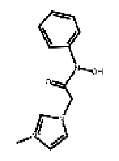 C[n+]1ccn(CC(=O)N(O)c2ccccc2)c1